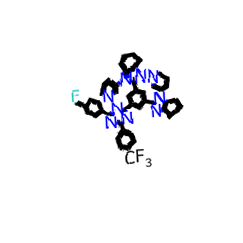 FCc1ccc(-c2nc(-c3ccc(C(F)(F)F)cc3)nc(-c3cc(-c4nc5ccccc5n4-c4cccnc4)cc(-c4nc5ccccc5n4-c4cccnc4)c3)n2)cc1